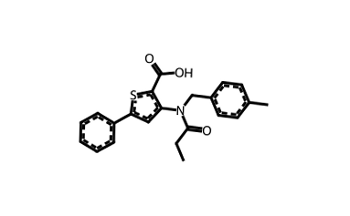 CCC(=O)N(Cc1ccc(C)cc1)c1cc(-c2ccccc2)sc1C(=O)O